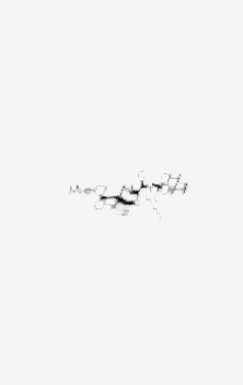 C=C(OC)c1csc(C(=O)NCC(C)(C)O)n1